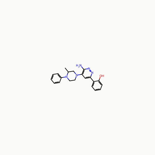 CC1CN(c2cc(-c3ccccc3O)nnc2N)CCN1c1ccccc1